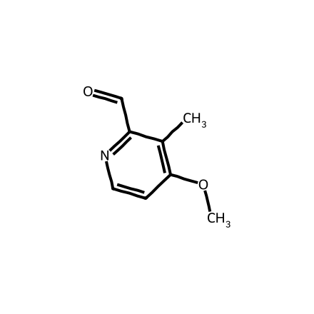 COc1ccnc(C=O)c1C